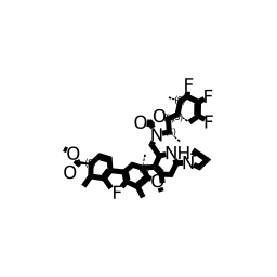 COC(=O)[C@H]1C=CC(C2=C(F)C(C)=C(OC)[C@](C)(C3=C(C)CC(N4CCC4)NC3CN3C(=O)O[C@H]([C@H]4CC(F)=C(F)C(F)[C@H]4C)[C@@H]3C)C2)=C(C)C1C